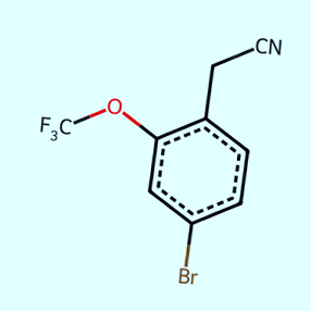 N#CCc1ccc(Br)cc1OC(F)(F)F